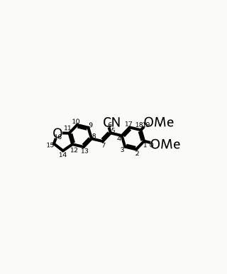 COc1ccc(/C(C#N)=C/c2ccc3c(c2)CCO3)cc1OC